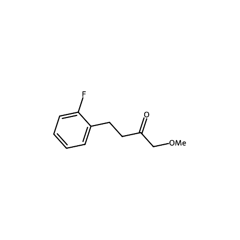 COCC(=O)CCc1ccccc1F